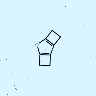 C1Cc2c1oc1c2CC1